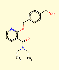 CCN(CC)C(=O)c1cccnc1OCc1ccc(CO)cc1